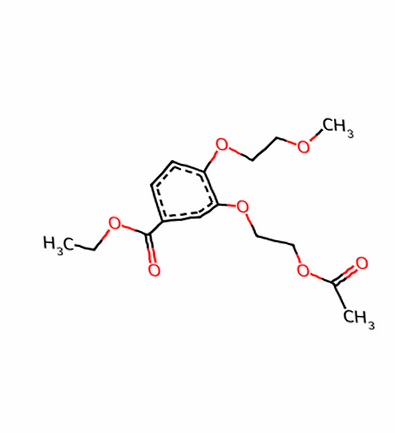 CCOC(=O)c1ccc(OCCOC)c(OCCOC(C)=O)c1